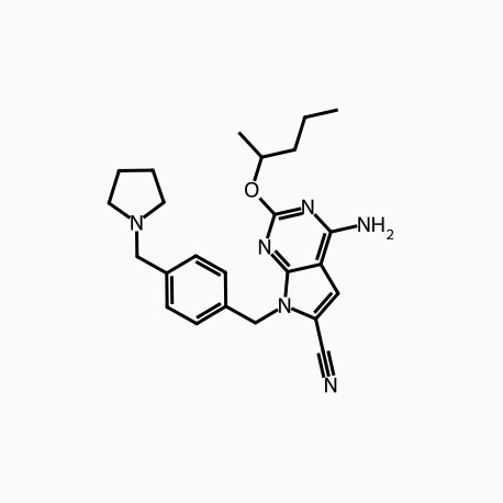 CCCC(C)Oc1nc(N)c2cc(C#N)n(Cc3ccc(CN4CCCC4)cc3)c2n1